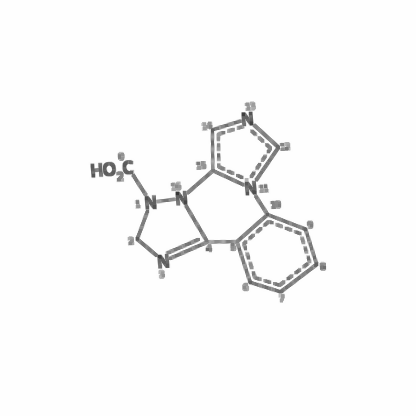 O=C(O)N1CN=C2c3ccccc3-n3cncc3N21